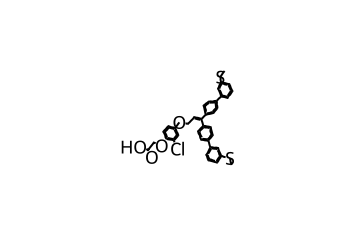 CSc1cccc(-c2ccc(C(=CCOc3ccc(OCC(=O)O)c(Cl)c3)c3ccc(-c4cccc(SC)c4)cc3)cc2)c1